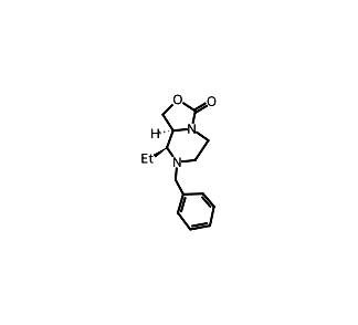 CC[C@H]1[C@H]2COC(=O)N2CCN1Cc1ccccc1